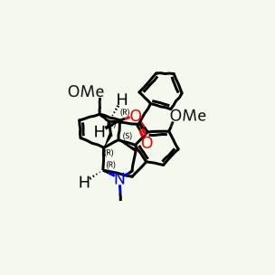 COc1ccc2c3c1O[C@H]1C4(OC)C=C[C@@]5(C[C@@H]4C(=O)c4ccccc4)[C@@H](C2)N(C)CC[C@]315